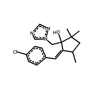 CC1CC(C)(C)C(O)(Cn2cncn2)/C1=C\c1ccc(Cl)cc1